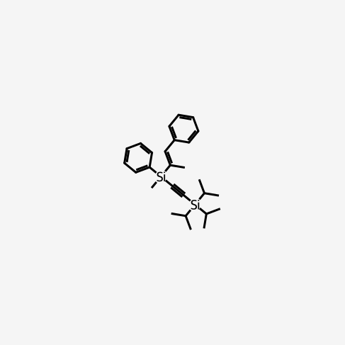 CC(=Cc1ccccc1)[Si](C)(C#C[Si](C(C)C)(C(C)C)C(C)C)c1ccccc1